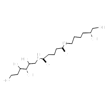 O=C(CCCC(=O)NCC(O)[C@@H](O)C(O)CCO)NCCCC[C@H](O)CO